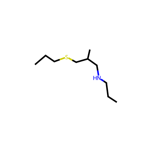 CCCNCC(C)CSCCC